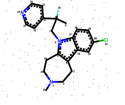 CN1CCc2c(n(CC(C)(F)c3ccncc3)c3ccc(Cl)cc23)CC1